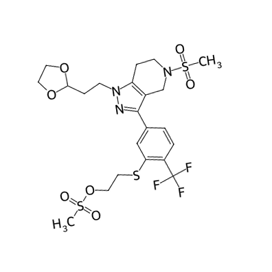 CS(=O)(=O)OCCSc1cc(-c2nn(CCC3OCCO3)c3c2CN(S(C)(=O)=O)CC3)ccc1C(F)(F)F